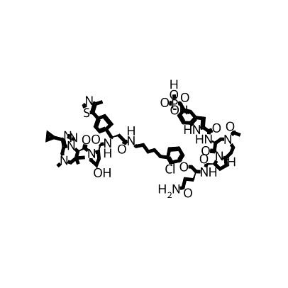 CC(=O)N1CC[C@H]2CC[C@@H](C(=O)N[C@@H](CCC(N)=O)COc3cccc(CCCCCNC(=O)C[C@@H](NC(=O)[C@H]4C[C@H](O)CN4C(=O)[C@@H]4n5nnc(C6CC6)c5CN(C)CC4(C)C)c4ccc(-c5scnc5C)cc4)c3Cl)N2C(=O)[C@@H](NC(=O)c2cc3cc(C(=O)P(=O)(O)O)ccc3[nH]2)C1